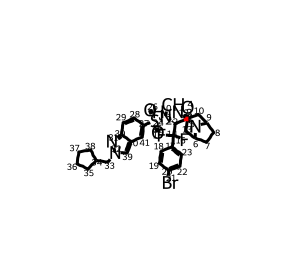 CN([C@H](C(=O)N1C2CCC1CC(N)C2)C(F)(F)c1ccc(Br)cc1)S(=O)(=O)c1ccc2nn(CC3CCCC3)cc2c1